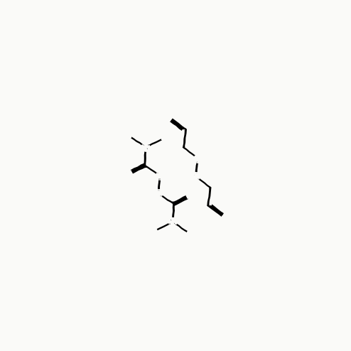 C=CCSSCC=C.CN(C)C(=S)SSC(=S)N(C)C